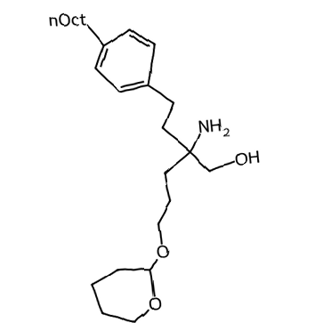 CCCCCCCCc1ccc(CCC(N)(CO)CCCOC2CCCCO2)cc1